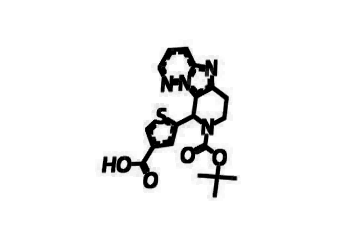 CC(C)(C)OC(=O)N1CCc2nc3cccnn3c2C1c1cc(C(=O)O)cs1